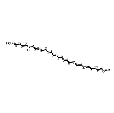 CCOCCOCCOCCOCCOCCOCCOCCOCCNCCOCC(=O)O